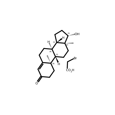 C[C@]12CC[C@H]3[C@@H](CCC4=CC(=O)CC[C@@]43C)[C@@H]1CC[C@@H]2O.O=C(O)CBr